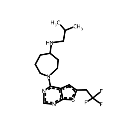 CC(C)CNC1CCCN(c2ncnc3sc(CC(F)(F)F)cc23)CC1